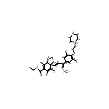 CCOC(=O)C1=C(C)C(OC)C(C)(C=CC(=O)c2cc(C)c(OCCN3CCOCC3)c(C)c2)C(C)=C1C.Cl